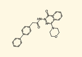 O=C(Cc1ccc(-c2ccccc2)cc1)Nn1nc(N2CCOCC2)c2ccccc2c1=O